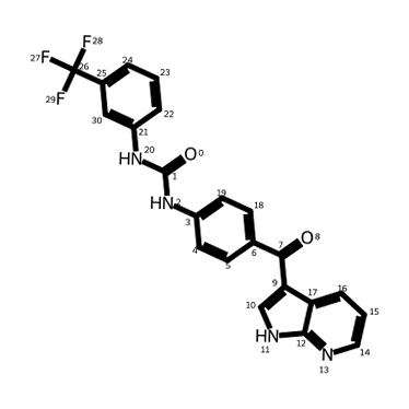 O=C(Nc1ccc(C(=O)c2c[nH]c3ncccc23)cc1)Nc1cccc(C(F)(F)F)c1